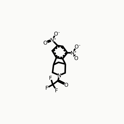 O=C(N1CC2CC(C1)c1c2cc([N+](=O)[O-])cc1[N+](=O)[O-])C(F)(F)F